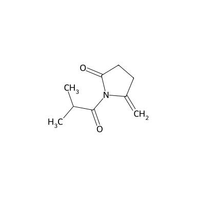 C=C1CCC(=O)N1C(=O)C(C)C